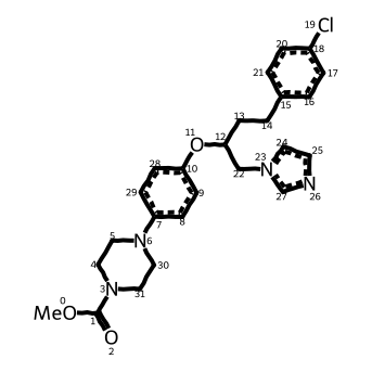 COC(=O)N1CCN(c2ccc(OC(CCc3ccc(Cl)cc3)Cn3ccnc3)cc2)CC1